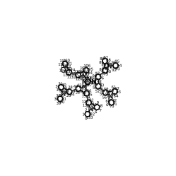 c1ccc(-n2c3ccccc3c3cc(-c4ccc5c(c4)c4cc(-c6ccc7c(c6)c6ccccc6n7-c6ccccc6)ccc4n5-c4cc(-n5c6ccc(-c7ccc8c(c7)c7ccccc7n8-c7ccccc7)cc6c6cc(-c7ccc8c(c7)c7ccccc7n8-c7ccccc7)ccc65)nc(-n5c6ccccc6c6cc(-c7ccc8oc9ccccc9c8c7)ccc65)n4)ccc32)cc1